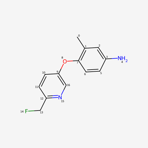 Cc1cc(N)ccc1Oc1ccc(CF)nc1